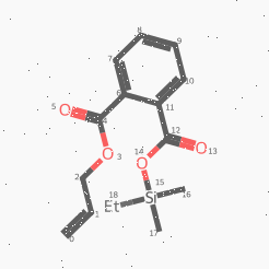 C=CCOC(=O)c1ccccc1C(=O)O[Si](C)(C)CC